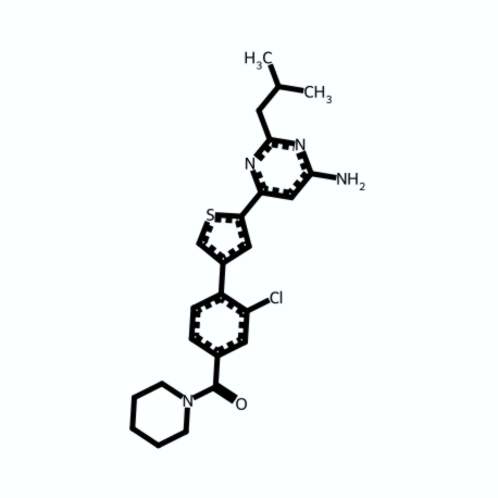 CC(C)Cc1nc(N)cc(-c2cc(-c3ccc(C(=O)N4CCCCC4)cc3Cl)cs2)n1